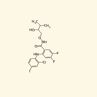 CC(C)C(O)CONC(=O)c1cc(F)c(F)cc1Nc1ccc(I)cc1Cl